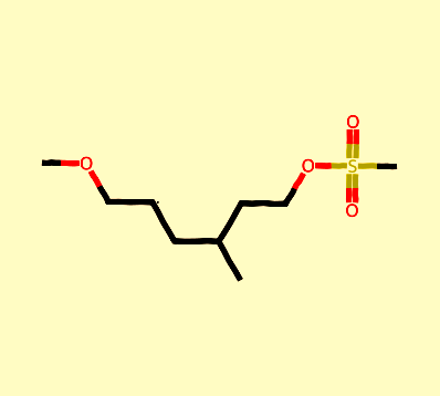 COC[CH]CC(C)CCOS(C)(=O)=O